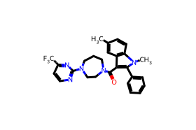 Cc1ccc2c(c1)c(C(=O)N1CCCN(c3nccc(C(F)(F)F)n3)CC1)c(-c1ccccc1)n2C